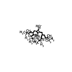 CC(C)(C)C1=CC(=CC2=C(O)C(=Cc3cc(C(C)(C)C)[s+]c(C(C)(C)C)c3)C2=O)C(S)=C(C(C)(C)C)O1.[OH-]